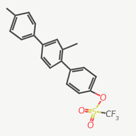 Cc1ccc(-c2ccc(-c3ccc(OS(=O)(=O)C(F)(F)F)cc3)c(C)c2)cc1